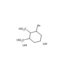 CC(C)C1CCCC(C(=O)O)C1C(=O)O.[LiH].[LiH]